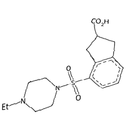 CCN1CCN(S(=O)(=O)c2cccc3c2CC(C(=O)O)C3)CC1